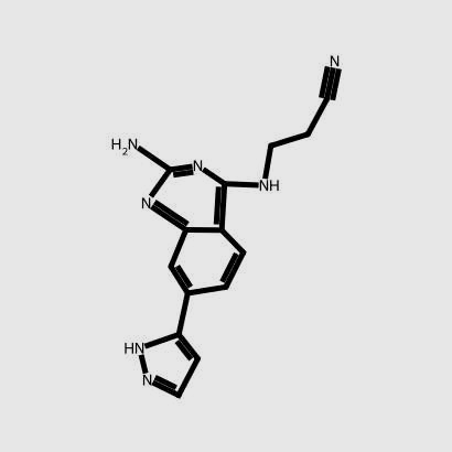 N#CCCNc1nc(N)nc2cc(-c3ccn[nH]3)ccc12